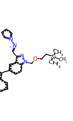 C[Si](C)(C)CCOCn1nc(/C=N/n2cccc2)c2cc(-c3cncc4ccccc34)ccc21